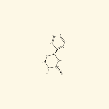 C[C@@H]1OC[C@@H](c2ccccc2)OC1=O